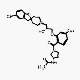 CC(=O)N[C@H]1CCN(C(=O)c2ccc(O)cc2OC[C@H](O)CN2CCC3(CC2)Cc2cc(Cl)ccc2O3)C1